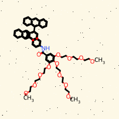 COCCOCCOCCOc1cc(C(=O)Nc2ccc(-c3cc4c5ccccc5c3c3cccc(-c5c6ccccc6cc6ccccc56)c43)cc2)cc(OCCOCCOCCOC)c1OCCOCCOCCOC